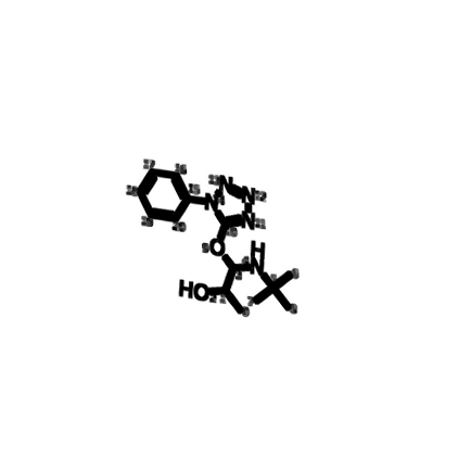 CC(O)C(NC(C)(C)C)Oc1nnnn1-c1ccccc1